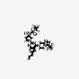 CCCc1cc2c(N3CCn4c(nnc4C(F)(F)F)C3)nc(N3CC[C@H](NC(=O)OC(C)(C)C)C3)nc2s1